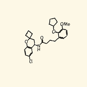 COc1cccc(CCCC(=O)N[C@@H]2CC3(CCC3)Oc3ccc(Cl)cc32)c1OC1CCCC1